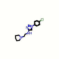 Clc1ccc(-n2cc(NCCN3CCCCC3)nn2)cc1